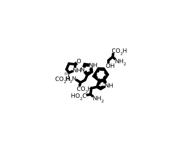 NC(CO)C(=O)O.NC(Cc1c[nH]c2ccccc12)C(=O)O.NC(Cc1c[nH]cn1)C(=O)O.O=C1CC[C@@H](C(=O)O)N1